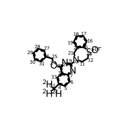 [2H]C([2H])([2H])c1ccc2nc(N3CC[S+]([O-])c4ccccc4C3)nc(OCc3ccccc3)c2c1